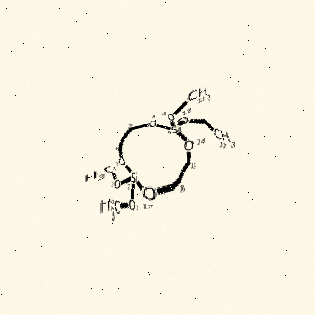 CO[Si]1(OC)OCCO[Si](OC)(OC)OCCO1